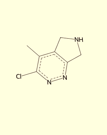 Cc1c(Cl)nnc2c1CNC2